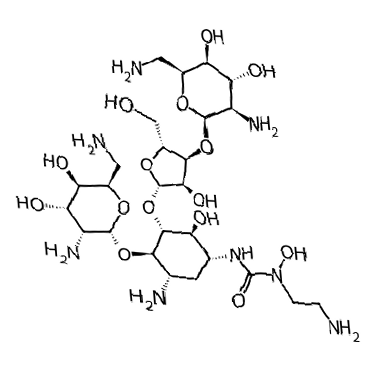 NCCN(O)C(=O)N[C@@H]1C[C@H](N)[C@@H](O[C@H]2O[C@H](CN)[C@H](O)[C@@H](O)[C@H]2N)[C@H](O[C@@H]2O[C@H](CO)[C@@H](O[C@H]3O[C@@H](CN)[C@@H](O)[C@H](O)[C@H]3N)[C@H]2O)[C@H]1O